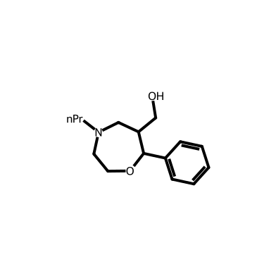 CCCN1CCOC(c2ccccc2)C(CO)C1